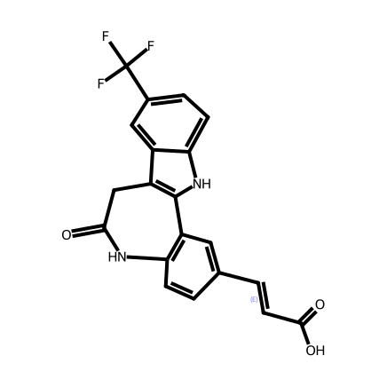 O=C(O)/C=C/c1ccc2c(c1)-c1[nH]c3ccc(C(F)(F)F)cc3c1CC(=O)N2